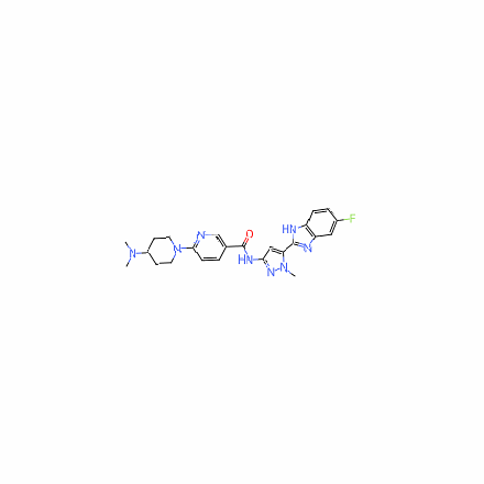 CN(C)C1CCN(c2ccc(C(=O)Nc3cc(-c4nc5cc(F)ccc5[nH]4)n(C)n3)cn2)CC1